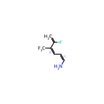 C=C(F)/C(=C\C=C/N)C(F)(F)F